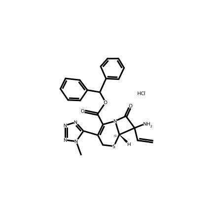 C=CC1(N)C(=O)N2C(C(=O)OC(c3ccccc3)c3ccccc3)=C(c3nnnn3C)CS[C@H]21.Cl